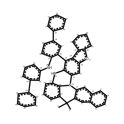 CC1(C)c2cc3ccccc3cc2N2c3cc4oc5ccccc5c4c(-c4cc(-c5ccccc5)ccc4Nc4cccc(-c5ccccc5)c4)c3Bc3cccc1c32